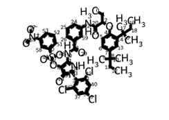 CCC(Oc1ccc(C(C)(C)CC)cc1C(C)(C)CC)C(=O)Nc1cccc(C(=O)Nc2[nH]n(-c3c(Cl)cc(Cl)cc3Cl)c(=O)c2OS(=O)(=O)c2cccc([N+](=O)[O-])c2)c1